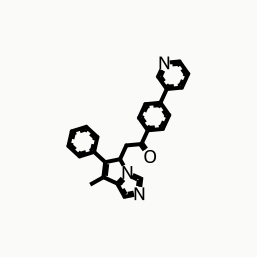 CC1=C(c2ccccc2)C(CC(=O)c2ccc(-c3cccnc3)cc2)n2cncc21